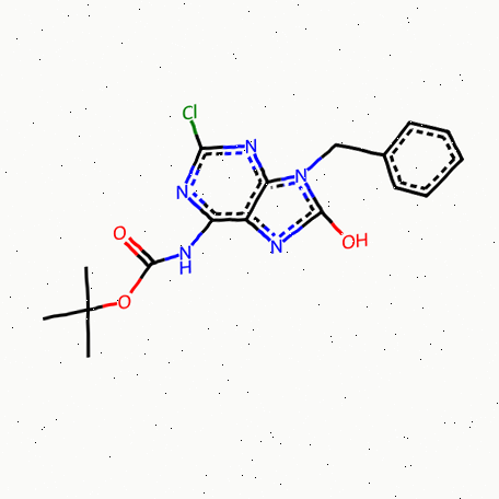 CC(C)(C)OC(=O)Nc1nc(Cl)nc2c1nc(O)n2Cc1ccccc1